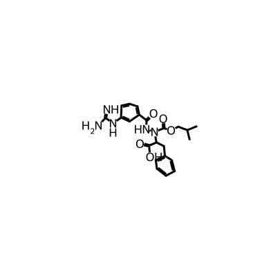 CC(C)COC(=O)N(NC(=O)c1cccc(NC(=N)N)c1)C(Cc1ccccc1)C(=O)O